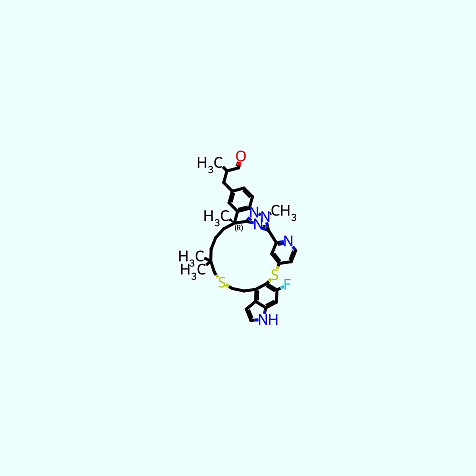 CC(C=O)Cc1cccc([C@@]2(C)CCCC(C)(C)CSCCc3c(c(F)cc4[nH]ccc34)Sc3ccnc(c3)-c3nc2nn3C)c1